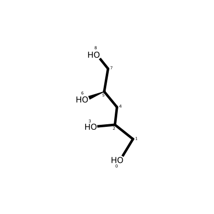 OCC(O)C[C@@H](O)CO